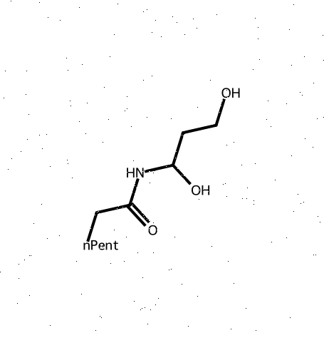 CCCCCCC(=O)NC(O)CCO